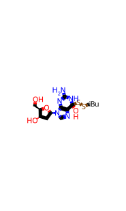 CCC(C)SSC1(O)NC(N)=Nc2c1ncn2[C@H]1C[C@H](O)[C@@H](CO)O1